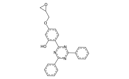 Oc1cc(OCC2CO2)ccc1-c1nc(-c2ccccc2)nc(-c2ccccc2)n1